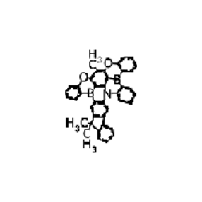 Cc1c2c3c4c5c1Oc1ccccc1B5c1cc5c(cc1N4c1ccccc1B3c1ccccc1O2)-c1ccccc1C5(C)C